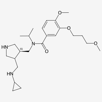 COCCCOc1cc(C(=O)N(C[C@@H]2CNCC2CNC2CC2)C(C)C)ccc1OC